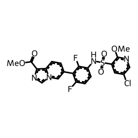 COC(=O)c1ncn2cc(-c3c(F)ccc(NS(=O)(=O)c4cc(Cl)cnc4OC)c3F)ccc12